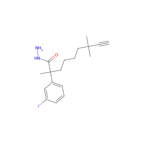 C#CC(C)(C)CCCCC(C)(C(=O)NN)c1cccc(I)c1